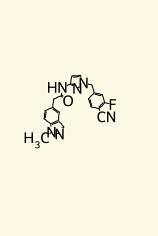 Cn1ncc2cc(CC(=O)Nc3ccn(Cc4ccc(C#N)c(F)c4)n3)ccc21